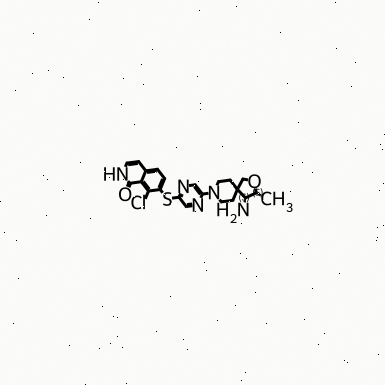 C[C@@H]1OCC2(CCN(c3cnc(Sc4ccc5cc[nH]c(=O)c5c4Cl)cn3)CC2)[C@@H]1N